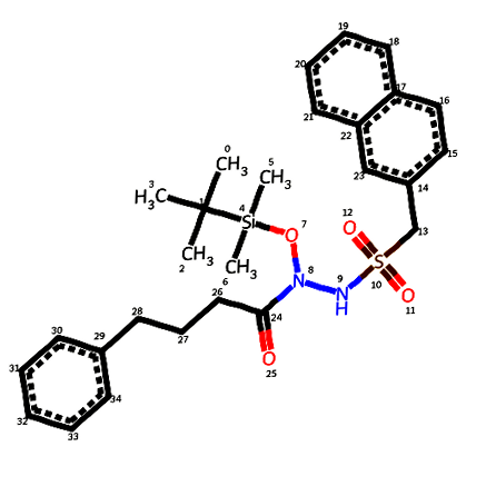 CC(C)(C)[Si](C)(C)ON(NS(=O)(=O)Cc1ccc2ccccc2c1)C(=O)CCCc1ccccc1